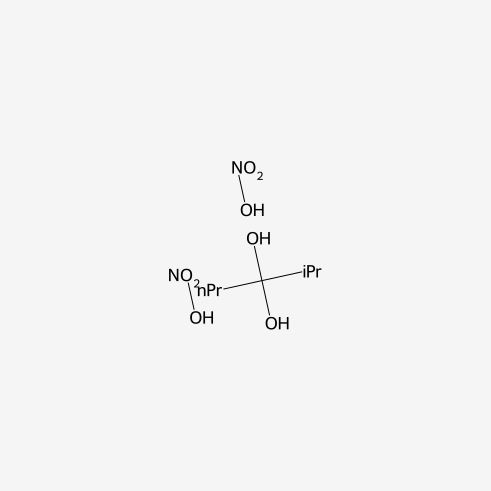 CCCC(O)(O)C(C)C.O=[N+]([O-])O.O=[N+]([O-])O